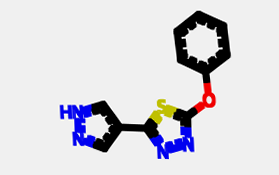 c1ccc(Oc2nnc(-c3cn[nH]c3)s2)cc1